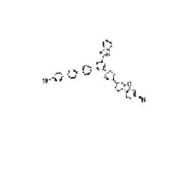 N#Cc1ccc(-c2ccc(-c3ccc(-c4cc(-c5ccc(-c6ccc7c(c6)oc6cc(C#N)ccc67)cc5)cc(-c5nc6ccccc6s5)c4)cc3)cc2)cc1